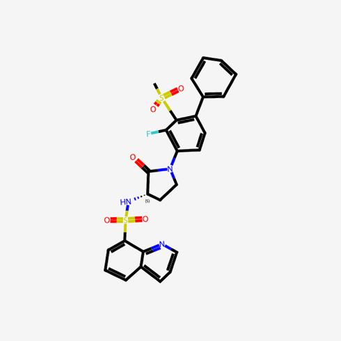 CS(=O)(=O)c1c(-c2ccccc2)ccc(N2CC[C@H](NS(=O)(=O)c3cccc4cccnc34)C2=O)c1F